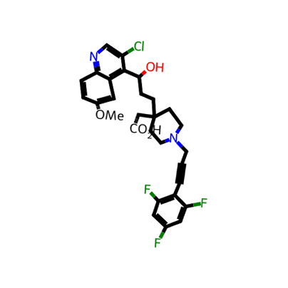 COc1ccc2ncc(Cl)c(C(O)CCC3(CC(=O)O)CCN(CC#Cc4c(F)cc(F)cc4F)CC3)c2c1